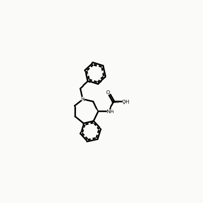 O=C(O)NC1CN(Cc2ccccc2)CCc2ccccc21